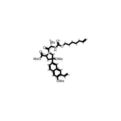 C=CCCCCCOC(=O)N[C@H](C(=O)N1CC(OC)(c2ccc3cc(OC)c(C=C)cc3c2)CC1C(=O)OC)C(C)(C)C